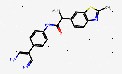 CNC(C(=O)Nc1ccc(/C(C=N)=C/N)cc1)c1ccc2nc(C)sc2c1